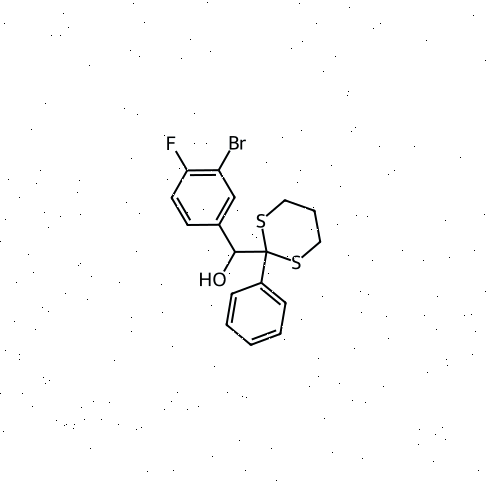 OC(c1ccc(F)c(Br)c1)C1(c2ccccc2)SCCCS1